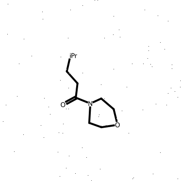 CC(C)CCC(=O)N1CCOCC1